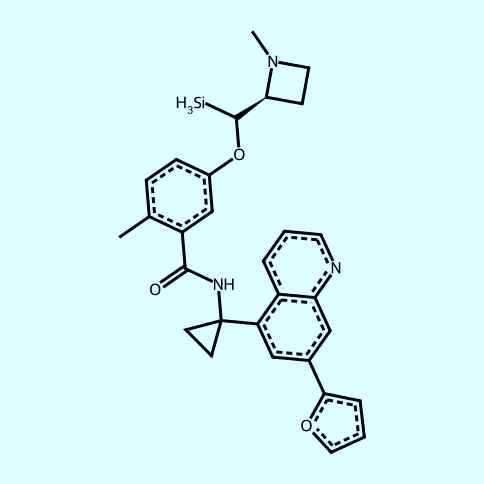 Cc1ccc(OC([SiH3])[C@@H]2CCN2C)cc1C(=O)NC1(c2cc(-c3ccco3)cc3ncccc23)CC1